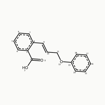 O=C(O)c1ccccc1/C=C/COc1ccccc1